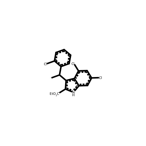 [CH2]C(c1ccccc1Cl)c1c(C(=O)OCC)[nH]c2cc(Cl)cc(Cl)c12